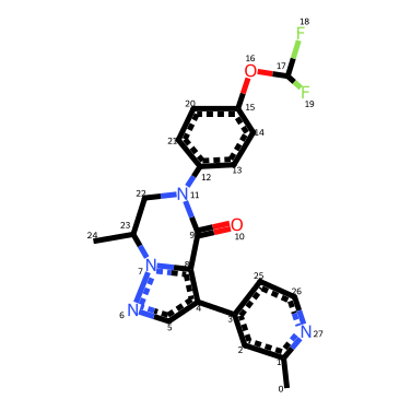 Cc1cc(-c2cnn3c2C(=O)N(c2ccc(OC(F)F)cc2)CC3C)ccn1